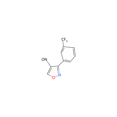 O=Nc1conc1-c1cccc(C(F)(F)F)c1